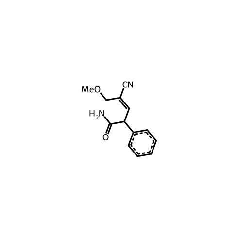 COC/C(C#N)=C\C(C(N)=O)c1ccccc1